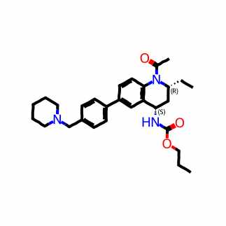 CCCOC(=O)N[C@H]1C[C@@H](CC)N(C(C)=O)c2ccc(-c3ccc(CN4CCCCC4)cc3)cc21